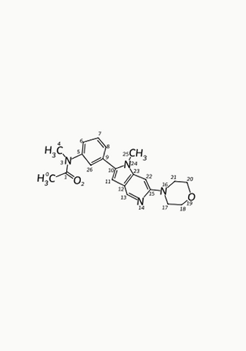 CC(=O)N(C)c1cccc(-c2cc3cnc(N4CCOCC4)cc3n2C)c1